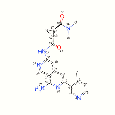 Cc1ccncc1-c1cc2cc(NC(=O)[C@@H]3C[C@H]3C(=O)N(C)C)ncc2c(N)n1